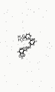 CC1(C)CCCN(c2cc(CNCc3cccc4c3OCO4)ccn2)C1